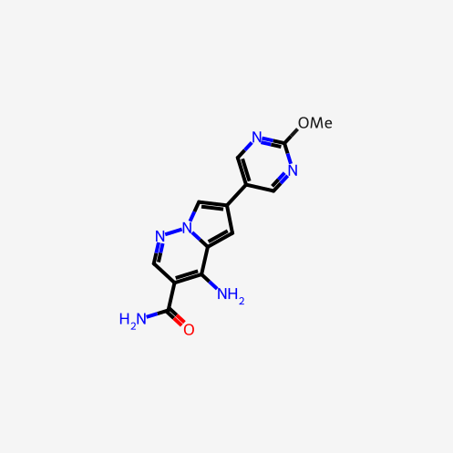 COc1ncc(-c2cc3c(N)c(C(N)=O)cnn3c2)cn1